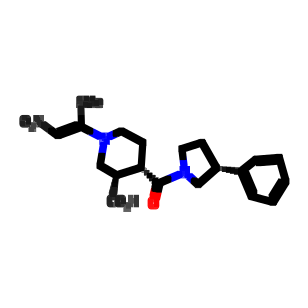 CSC(=C[N+](=O)[O-])N1CC[C@H](C(=O)N2CC[C@H](c3ccccc3)C2)[C@@H](C(=O)O)C1